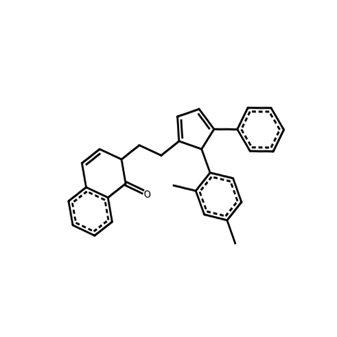 Cc1ccc(C2C(CCC3C=Cc4ccccc4C3=O)=CC=C2c2ccccc2)c(C)c1